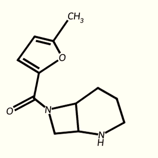 Cc1ccc(C(=O)N2CC3NCCCC32)o1